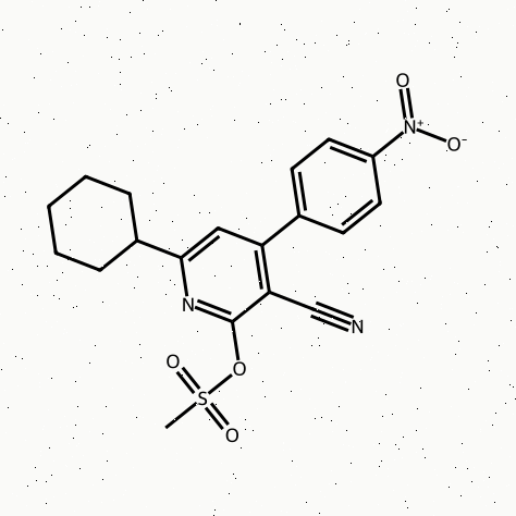 CS(=O)(=O)Oc1nc(C2CCCCC2)cc(-c2ccc([N+](=O)[O-])cc2)c1C#N